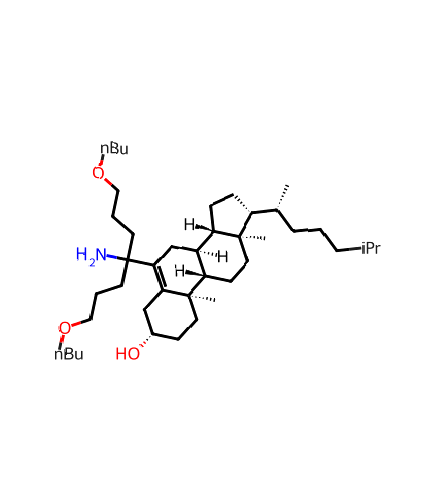 CCCCOCCCC(N)(CCCOCCCC)C1=C2C[C@@H](O)CC[C@]2(C)[C@H]2CC[C@]3(C)[C@@H]([C@H](C)CCCC(C)C)CC[C@H]3[C@@H]2C1